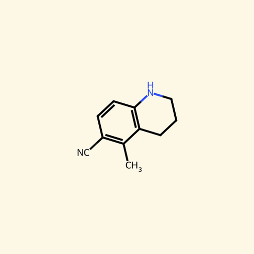 Cc1c(C#N)ccc2c1CCCN2